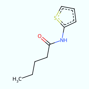 CCCCC(=O)Nc1cccs1